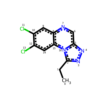 CCc1nnc2cnc3cc(Cl)c(Cl)cc3n12